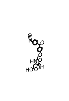 O=C=Nc1ccc(C(=O)c2ccc(OCC(=O)NC(CC(=O)O)C(=O)O)cc2)cc1